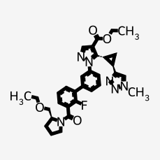 CCOC[C@@H]1CCCN1C(=O)c1cccc(-c2cccc(-n3ncc(C(=O)OCC)c3[C@@H]3C[C@H]3c3cn(C)nn3)c2)c1F